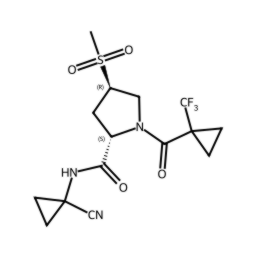 CS(=O)(=O)[C@@H]1C[C@@H](C(=O)NC2(C#N)CC2)N(C(=O)C2(C(F)(F)F)CC2)C1